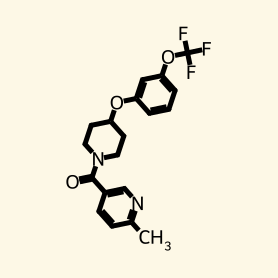 Cc1ccc(C(=O)N2CCC(Oc3cccc(OC(F)(F)F)c3)CC2)cn1